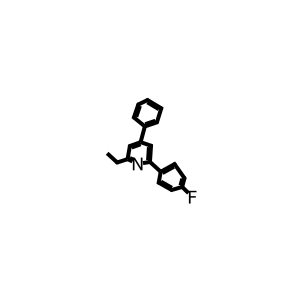 CCc1cc(-c2ccccc2)cc(-c2ccc(F)cc2)n1